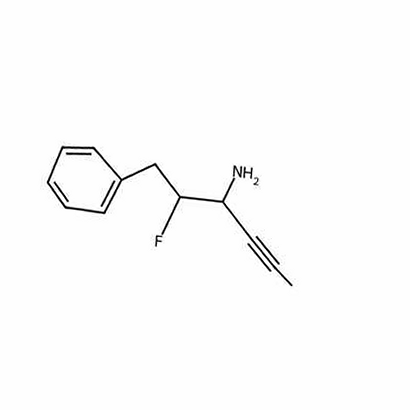 CC#CC(N)C(F)Cc1ccccc1